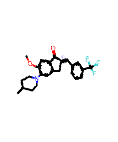 COc1cc2c(cc1N1CCC(C)CC1)C/C(=C\c1cccc(C(F)(F)F)c1)C2=O